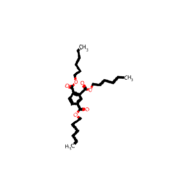 CCCCCCOC(=O)c1ccc(C(=O)OCCCCCC)c(C(=O)OCCCCCC)c1